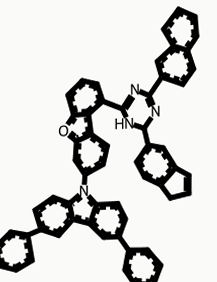 C1=Cc2cc(C3N=C(c4ccc5ccccc5c4)N=C(c4cccc5oc6cc(-n7c8ccc(-c9ccccc9)cc8c8cc(-c9ccccc9)ccc87)ccc6c45)N3)ccc2C1